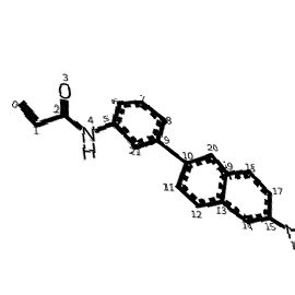 C=CC(=O)Nc1cccc(-c2ccc3cc(N)ccc3c2)c1